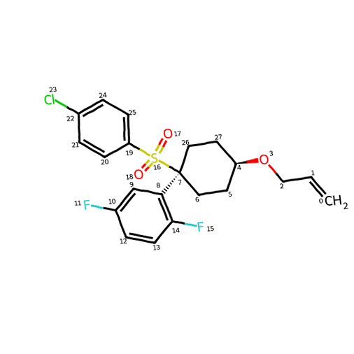 C=CCO[C@H]1CC[C@@](c2cc(F)ccc2F)(S(=O)(=O)c2ccc(Cl)cc2)CC1